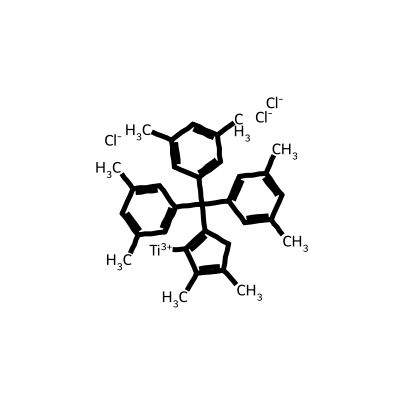 CC1=C(C)[C]([Ti+3])=C(C(c2cc(C)cc(C)c2)(c2cc(C)cc(C)c2)c2cc(C)cc(C)c2)C1.[Cl-].[Cl-].[Cl-]